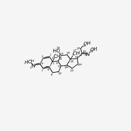 CC12C=CC(=NO)C=C1CCC1C2C(O)CC2(C)C(/C(CO)=N/O)CCC12